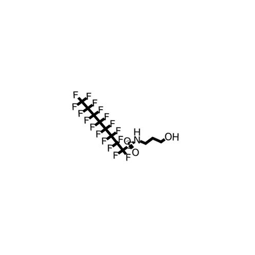 O=S(=O)(NCCCO)C(F)(F)C(F)(F)C(F)(F)C(F)(F)C(F)(F)C(F)(F)C(F)(F)C(F)(F)F